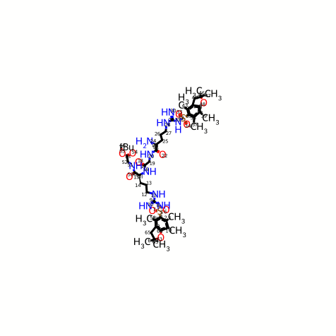 Cc1c(C)c(S(=O)(=O)NC(=N)NCCC[C@H](NC(=O)CNC(=O)[C@@H](N)CCCNC(=N)NS(=O)(=O)c2c(C)c(C)c3c(c2C)CC(C)(C)O3)C(=O)NCC(=O)OC(C)(C)C)c(C)c2c1OC(C)(C)C2